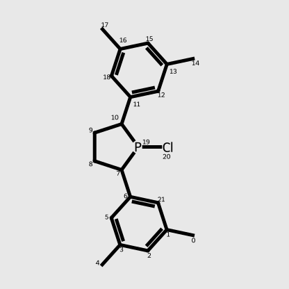 Cc1cc(C)cc(C2CCC(c3cc(C)cc(C)c3)P2Cl)c1